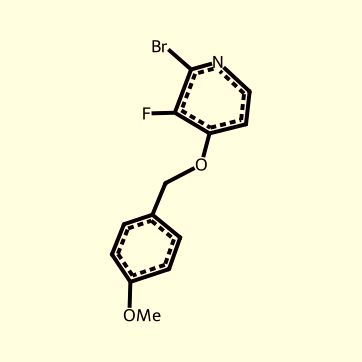 COc1ccc(COc2ccnc(Br)c2F)cc1